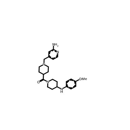 COc1ccc(NC2CCN(C(=O)C3CCN(Cc4ccnc(N)c4)CC3)CC2)cc1